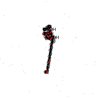 CC(=O)O[C@@]12COC1C[C@H](O)[C@@]1(C)C(=O)[C@H](OC(O)OCOC(=O)CCOCCOCCOCCOCCOCCOCCOCCOCCSSc3ccccn3)C3=C(C)C(OC(=O)[C@H](O)C(NC(=O)c4ccccc4)c4ccccc4)C[C@@](O)([C@@H](OC(=O)c4ccccc4)[C@@H]12)C3(C)C